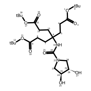 CC(C)(C)OC(=O)CCC(CCC(=O)OC(C)(C)C)(CCC(=O)OC(C)(C)C)NC(=O)N1C[C@H](O)[C@@H](O)C1